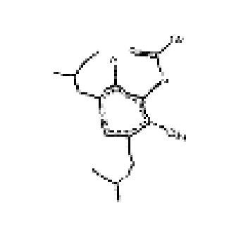 CC(C)Cc1cc(CC(C)C)c(Cl)c(OC(=O)O)c1O